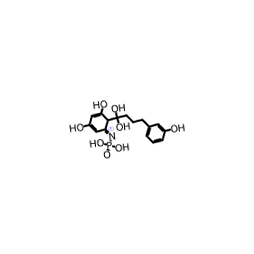 O=P(O)(O)/N=C1\C=C(O)C=C(O)C1C(O)(O)CCCc1cccc(O)c1